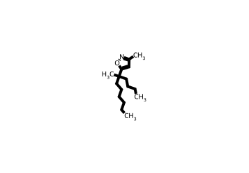 CCCCCCC(C)(CCCC)c1cc(C)no1